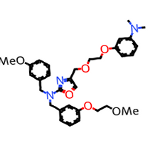 COCCOc1cccc(CN(Cc2cccc(OC)c2)c2nc(COCCOc3cccc(N(C)C)c3)co2)c1